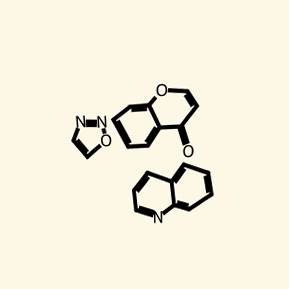 O=c1ccoc2ccccc12.c1ccc2ncccc2c1.c1conn1